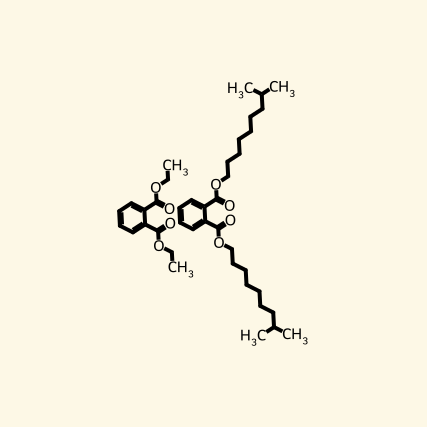 CC(C)CCCCCCCOC(=O)c1ccccc1C(=O)OCCCCCCCC(C)C.CCOC(=O)c1ccccc1C(=O)OCC